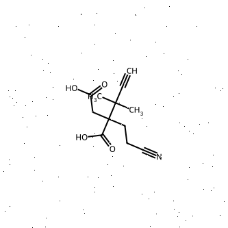 C#CC(C)(C)C(CCC#N)(CC(=O)O)C(=O)O